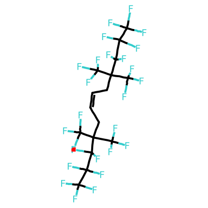 FC(F)(F)C(F)(F)C(F)(F)C(C/C=C\CC(C(F)(F)F)(C(F)(F)F)C(F)(F)C(F)(F)C(F)(F)F)(C(F)(F)F)C(F)(F)F